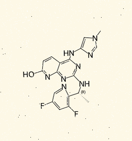 C[C@@H](Nc1nc(Nc2cn(C)cn2)c2ccc(O)nc2n1)c1ncc(F)cc1F